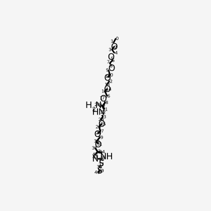 CCOCCOCCOCCOCCOCCOC/C(N)=C/NCCOCCOCCOCC1=CNC(SCSC)N=C1